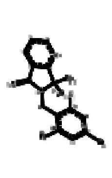 BC1(B)c2ncccc2C(=O)N1Cc1c(Cl)cc(Br)cc1Cl